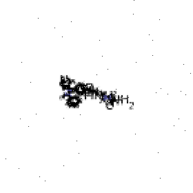 CC/C(=C(\c1ccncc1)c1ccc(OCCNC/C(C)=C(\C)C(N)=O)cc1)c1ccccc1